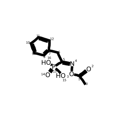 CC(=O)ON=C(Cc1ccccc1)P(=O)(O)O